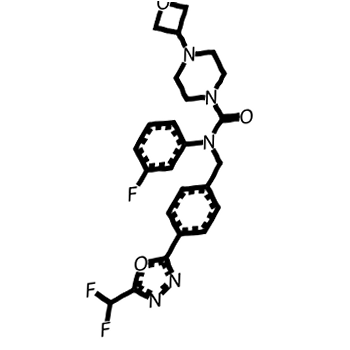 O=C(N1CCN(C2COC2)CC1)N(Cc1ccc(-c2nnc(C(F)F)o2)cc1)c1cccc(F)c1